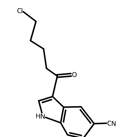 N#Cc1ccc2[nH]cc(C(=O)CCCCCl)c2c1